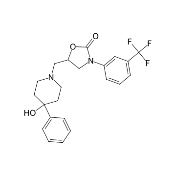 O=C1OC(CN2CCC(O)(c3ccccc3)CC2)CN1c1cccc(C(F)(F)F)c1